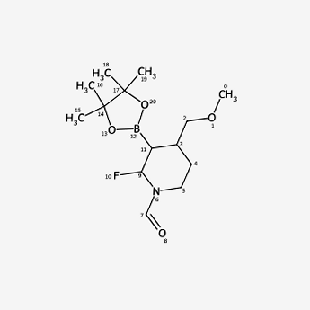 COCC1CCN(C=O)C(F)C1B1OC(C)(C)C(C)(C)O1